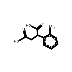 [CH2]c1ccccc1C(CC(=O)O)C(=O)O